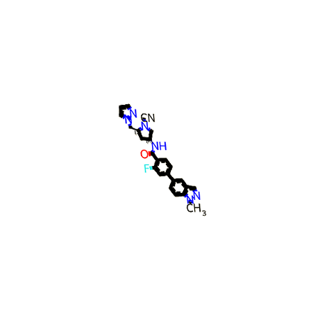 Cn1ncc2cc(-c3ccc(C(=O)N[C@@H]4C[C@@H](Cn5cccn5)N(C#N)C4)c(F)c3)ccc21